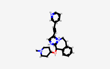 CN1CCC(OC2c3ccccc3CCn3c(C#Cc4cccnc4)cnc32)CC1